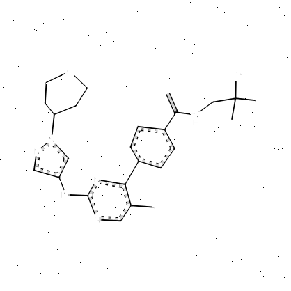 CC(C)(C#N)CNC(=O)c1ccc(-c2nc(Nc3cnn(C4CCOCC4)c3)ncc2Cl)cc1